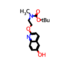 CN(CCOc1ccc2cc(O)ccc2n1)C(=O)OC(C)(C)C